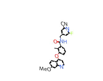 COc1ccc2c(Oc3cccc(C(=O)NCc4cc(F)nc(C#N)c4)c3C)ccnc2c1